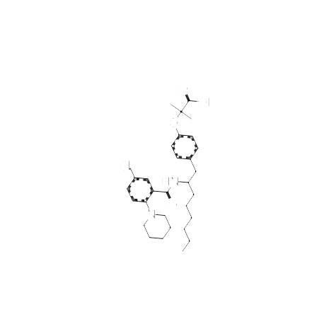 CCCCCCC(Cc1ccc(OC(C)(C)C(=O)O)cc1)NC(=O)c1cc(Cl)ccc1N1CCCCC1